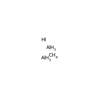 C.I.[AlH3].[AlH3]